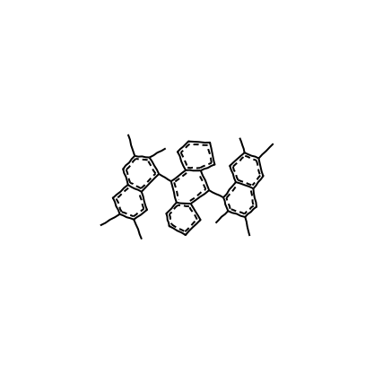 Cc1cc2cc(C)c(C)c(-c3c4ccccc4c(-c4c(C)c(C)cc5cc(C)c(C)cc45)c4ccccc34)c2cc1C